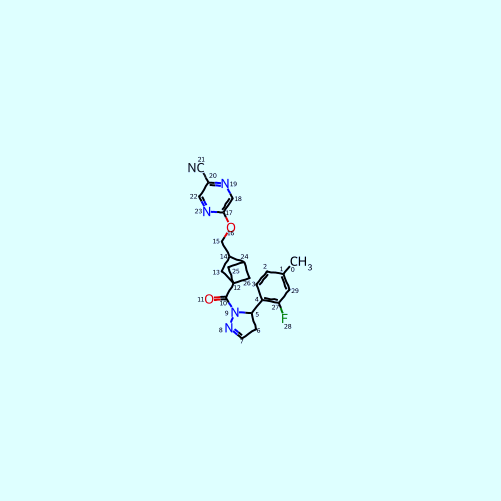 Cc1ccc(C2CC=NN2C(=O)C23CC(COc4cnc(C#N)cn4)C(C2)C3)c(F)c1